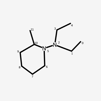 CCN(CC)N1CCCCC1C